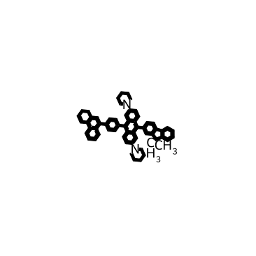 CC1(C)c2ccccc2-c2ccc(-c3c4ccc(N5CCCCC5)cc4c(-c4ccc(-c5cc6c(c7ccccc57)C=CCC6)cc4)c4ccc(N5CCCCC5)cc34)cc21